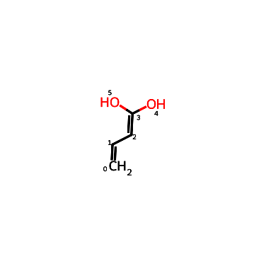 C=CC=C(O)O